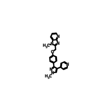 Cn1cc(-c2ccncc2)c(-c2ccc(OCc3nc4ncccc4n3C)cc2)n1